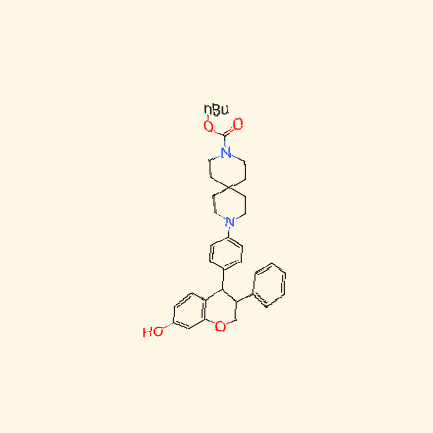 CCCCOC(=O)N1CCC2(CC1)CCN(c1ccc(C3c4ccc(O)cc4OCC3c3ccccc3)cc1)CC2